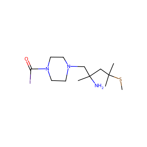 CSC(C)(C)CC(C)(N)CN1CCN(C(=O)I)CC1